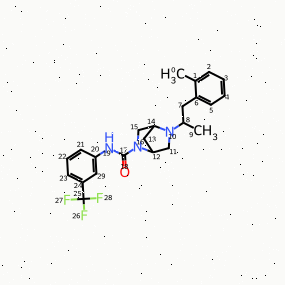 Cc1ccccc1CC(C)N1CC2CC1CN2C(=O)Nc1cccc(C(F)(F)F)c1